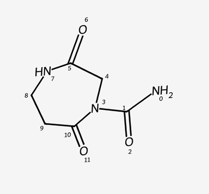 NC(=O)N1CC(=O)NCCC1=O